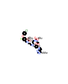 CNc1ncnc2c1ccn2[C@@H]1C[C@H](CN(CCCN(Cc2ccc(Oc3ccc(Cl)cc3)c(F)c2)C(=O)OC(C)(C)C)CC[C@H](NC(=O)OC(C)(C)C)C(=O)O)[C@H]2OC(C)(C)O[C@H]21